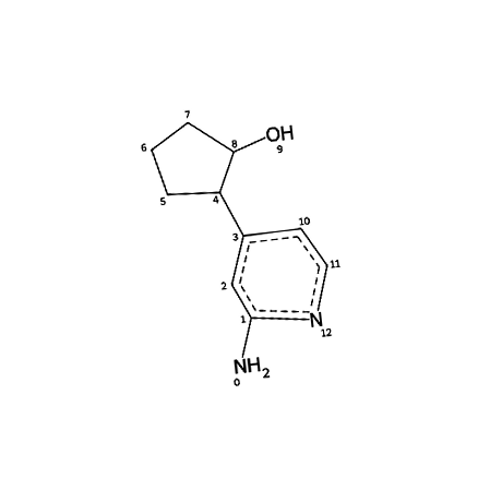 Nc1cc(C2CCCC2O)ccn1